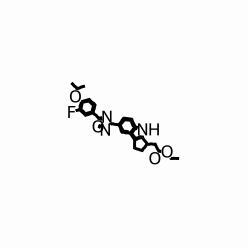 CCOC(=O)CC1CCc2c1[nH]c1ccc(-c3noc(-c4ccc(OC(C)C)c(F)c4)n3)cc21